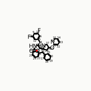 O=C1N[C@@H](Cc2cc(F)cc(F)c2)[C@@H]([C@]2(C(c3ccccc3)c3ccccc3)C[C@H](Oc3ccccn3)CN2)O1